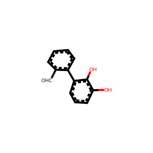 O=Cc1ccccc1-c1cccc(O)c1O